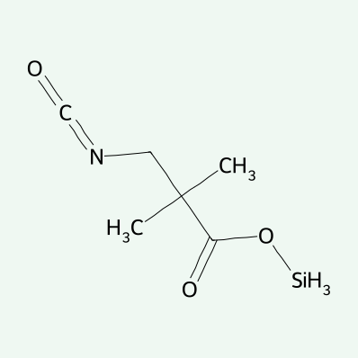 CC(C)(CN=C=O)C(=O)O[SiH3]